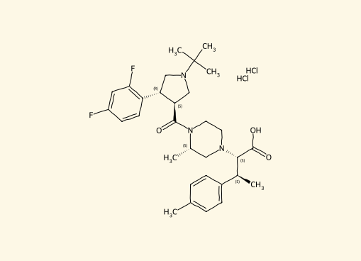 Cc1ccc([C@H](C)[C@@H](C(=O)O)N2CCN(C(=O)[C@@H]3CN(C(C)(C)C)C[C@H]3c3ccc(F)cc3F)[C@@H](C)C2)cc1.Cl.Cl